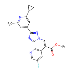 CC(C)OC(=O)/C(=C/n1cnc(-c2cc(C3CC3)nc(C(F)(F)F)c2)n1)c1cncc(F)c1